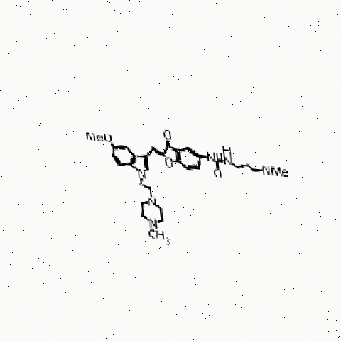 CNCCCNC(=O)Nc1ccc2c(c1)C(=O)/C(=C/c1cn(CCN3CCN(C)CC3)c3ccc(OC)cc13)O2